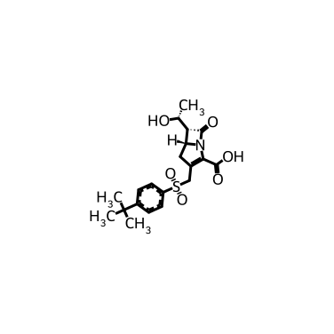 C[C@@H](O)[C@@H]1C(=O)N2C(C(=O)O)=C(CS(=O)(=O)c3ccc(C(C)(C)C)cc3)C[C@H]12